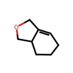 [CH]1OCC2CCCC=C12